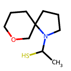 CC(S)N1CCCC12CCCOC2